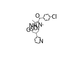 Cc1cc(CC(CS(N)(=O)=O)c2cccnc2)n(C)c1C(=O)c1ccc(Cl)cc1